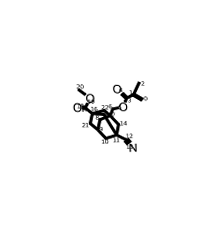 C=C(C)C(=O)OCC12CC3CC(C#N)(C1)CC(C(=O)OC)(C3)C2